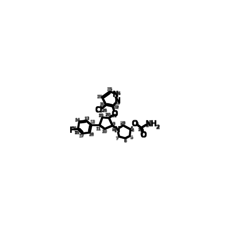 NC(=O)O[C@@H]1CCCN(C2CC(c3ccc(F)cc3)CC2Oc2nnccc2Cl)C1